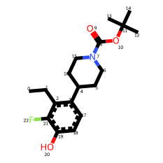 CCc1c(C2CCN(C(=O)OC(C)(C)C)CC2)ccc(O)c1F